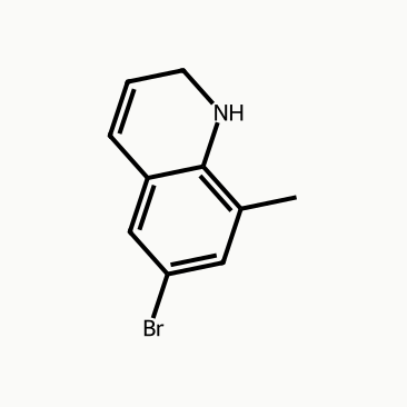 Cc1cc(Br)cc2c1NCC=C2